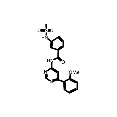 COc1ccccc1-c1cc(NC(=O)c2cccc(NS(C)(=O)=O)c2)ncn1